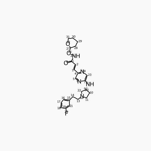 O=C(C=Cc1cnc(N[C@@H]2CCN(CCc3cccc(F)c3)C2)cn1)NOC1CCCCO1